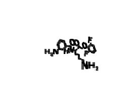 NCCCCC(NC(=O)c1cccc(N)c1)C(=O)COc1c(F)c#ccc1F